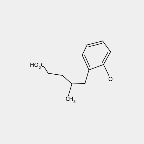 CC(CCC(=O)O)Cc1c[c]ccc1[O]